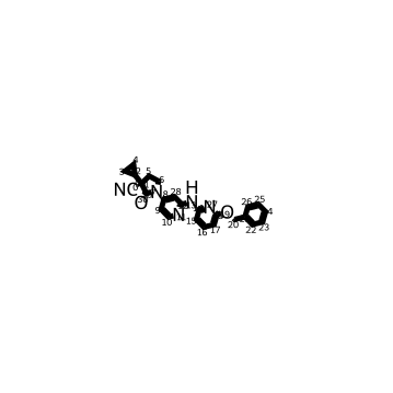 N#C[C@@]1(C2CC2)CCN(c2ccnc(Nc3cccc(OCc4ccccc4)n3)c2)C1=O